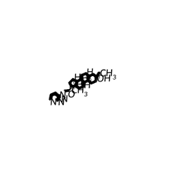 CC[C@@]1(O)CC[C@H]2[C@H](CC[C@@H]3[C@@H]2CC[C@]2(C)[C@@H](C(=O)Cn4nnc5ncccc54)CC[C@@H]32)C1